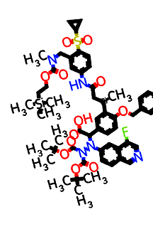 C[C@H](CC(=O)Nc1ccc(S(=O)(=O)C2CC2)c(CN(C)C(=O)OCC[Si](C)(C)C)c1)c1cc(C(C(=O)O)N(c2ccc3cncc(F)c3c2)N(C(=O)OC(C)(C)C)C(=O)OC(C)(C)C)ccc1OCc1ccccc1